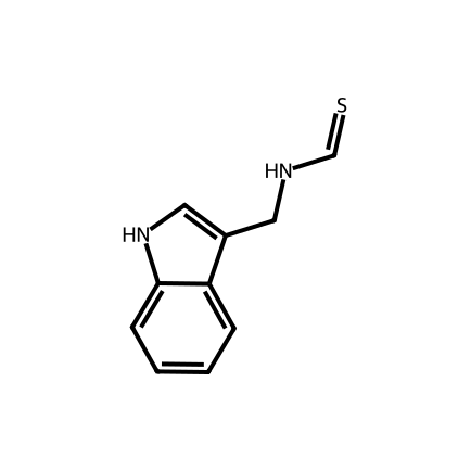 S=CNCc1c[nH]c2ccccc12